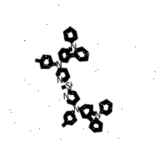 Cc1ccc(N(c2ccc([Si](C)(C)c3ccc(N(c4ccc(C)cc4)c4ccc5c(c4)c4ccccc4n5-c4ccccc4)cn3)nc2)c2ccc3c(c2)c2ccccc2n3-c2ccccc2)cc1